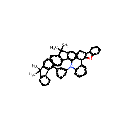 CC1(C)c2ccccc2-c2c(-c3cccc(N(c4ccccc4-c4cccc5c4oc4ccccc45)c4cccc5c4-c4ccccc4C5(C)C)c3)cccc21